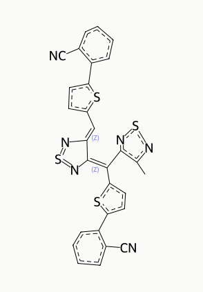 Cc1nsnc1/C(=C1/N=S=N/C1=C\c1ccc(-c2ccccc2C#N)s1)c1ccc(-c2ccccc2C#N)s1